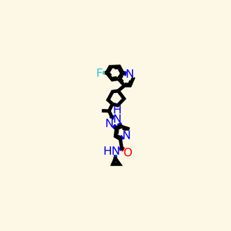 CC(c1nc2cc(C(=O)NC3CC3)ncc2[nH]1)C1CCC(c2ccnc3ccc(F)cc23)CC1